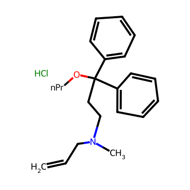 C=CCN(C)CCC(OCCC)(c1ccccc1)c1ccccc1.Cl